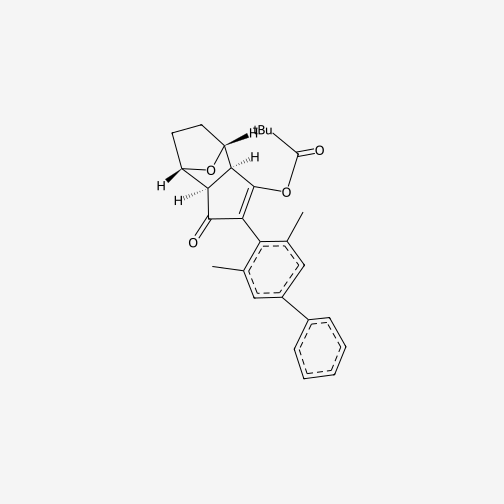 Cc1cc(-c2ccccc2)cc(C)c1C1=C(OC(=O)C(C)(C)C)[C@H]2[C@@H](C1=O)[C@@H]1CC[C@H]2O1